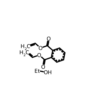 C=COC(=O)c1ccccc1C(=O)OC=C.CCO